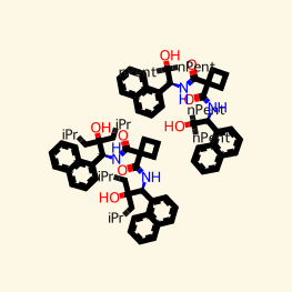 CC(C)CC(O)(CC(C)C)[C@@H](NC(=O)C1(C(=O)N[C@@H](c2cccc3ccccc23)C(O)(CC(C)C)CC(C)C)CCC1)c1cccc2ccccc12.CCCCCC(O)(CCCCC)[C@@H](NC(=O)C1(C(=O)N[C@@H](c2cccc3ccccc23)C(O)(CCCCC)CCCCC)CCC1)c1cccc2ccccc12